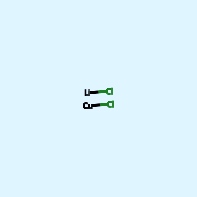 [Cl][Cu].[Li][Cl]